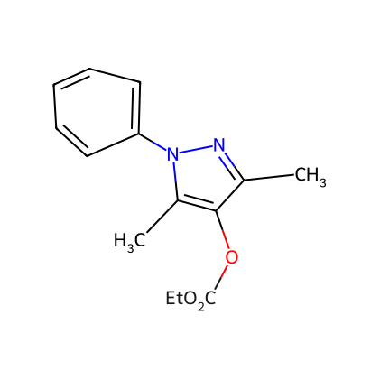 CCOC(=O)Oc1c(C)nn(-c2ccccc2)c1C